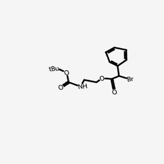 CC(C)(C)OC(=O)NCCOC(=O)C(Br)c1ccccc1